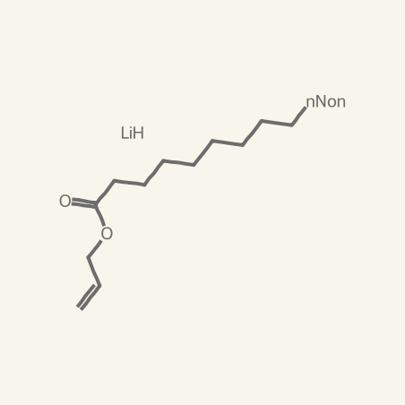 C=CCOC(=O)CCCCCCCCCCCCCCCCC.[LiH]